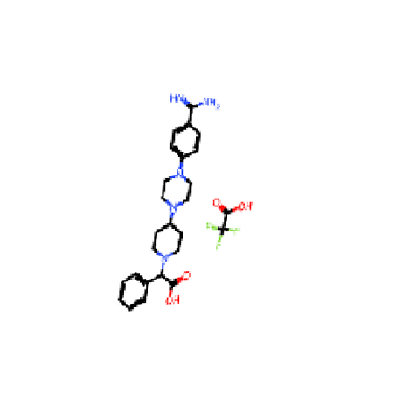 N=C(N)c1ccc(N2CCN(C3CCN(C(C(=O)O)c4ccccc4)CC3)CC2)cc1.O=C(O)C(F)(F)F